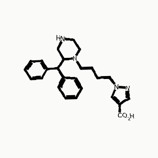 O=C(O)c1cnn(CCCCN2CCNCC2C(c2ccccc2)c2ccccc2)c1